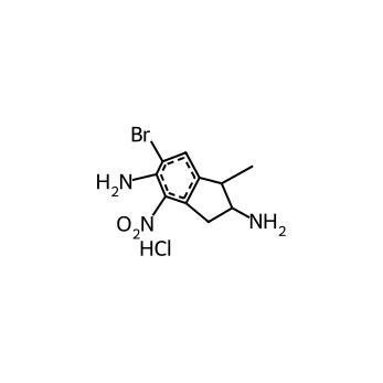 CC1c2cc(Br)c(N)c([N+](=O)[O-])c2CC1N.Cl